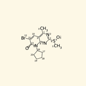 Cc1nc([S+](C)[O-])nc2c1cc(Br)c(=O)n2C1CCCC1